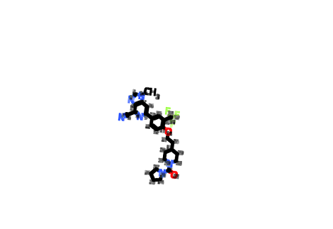 Cn1cnc2c(C#N)nc(-c3ccc(OCCC4CCN(C(=O)N5CCCC5)CC4)c(C(F)(F)F)c3)cc21